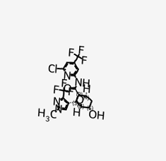 Cn1cc([C@H]2[C@H]3O[C@H](C[C@@H]3O)[C@@H]2C(=O)Nc2cc(C(F)(F)F)cc(Cl)n2)c(C(F)(F)F)n1